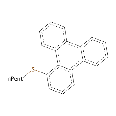 CCCCCSc1cccc2c3ccccc3c3ccccc3c12